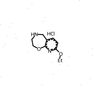 CCOc1ccc2c(n1)OCCNC2.Cl